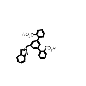 O=C(O)c1ccccc1-c1cc(Cn2cc3ccccc3n2)cc(-c2ccccc2C(=O)O)c1